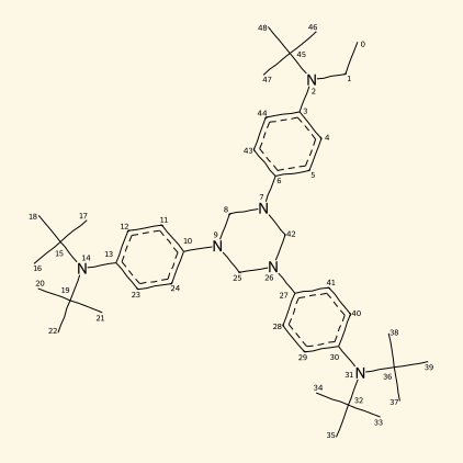 CCN(c1ccc(N2CN(c3ccc(N(C(C)(C)C)C(C)(C)C)cc3)CN(c3ccc(N(C(C)(C)C)C(C)(C)C)cc3)C2)cc1)C(C)(C)C